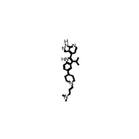 CC(C)c1c(-c2ccnc3[nH]ncc23)[nH]c2ccc(C3CCN(CCCN(C)C)CC3)cc12